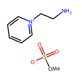 COS(=O)(=O)[O-].NCC[n+]1ccccc1